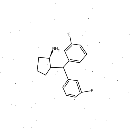 N[C@@H]1CCCC1C(c1cccc(F)c1)c1cccc(F)c1